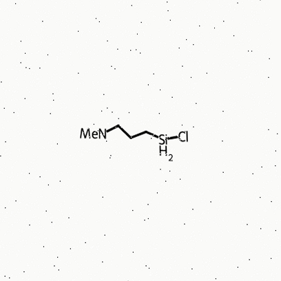 CNCCC[SiH2]Cl